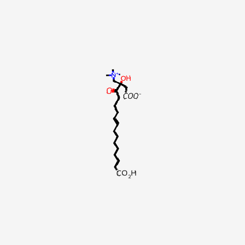 C[N+](C)(C)CC(O)(CC(=O)[O-])C(=O)CCCC=CCCCCCCCC(=O)O